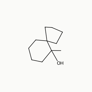 CC1(O)CCCCC12CCCC2